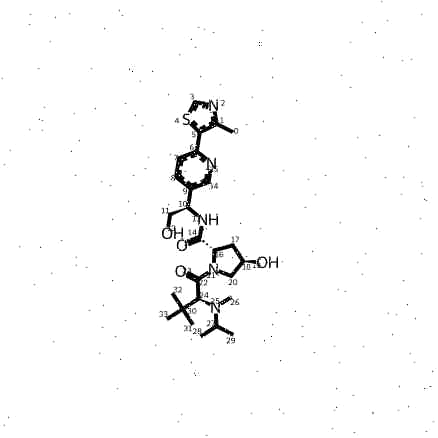 Cc1ncsc1-c1ccc([C@H](CO)NC(=O)[C@@H]2C[C@@H](O)CN2C(=O)[C@@H](N(C)C(C)C)C(C)(C)C)cn1